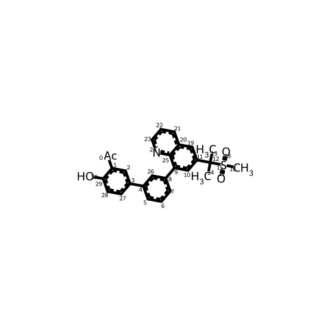 CC(=O)c1cc(-c2cccc(-c3cc(C(C)(C)S(C)(=O)=O)cc4cccnc34)c2)ccc1O